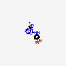 Cn1cc([N+]23C=CN=CC2=NC(Nc2ccc(S(C)(=O)=O)cc2)=N3)cn1